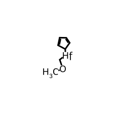 CO[CH2][Hf][CH]1C=CC=C1